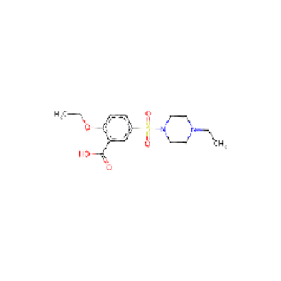 CCOc1ccc(S(=O)(=O)N2CCN(CC)CC2)cc1C(=O)O